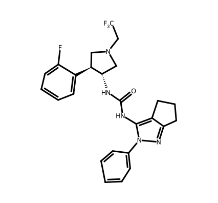 O=C(Nc1c2c(nn1-c1ccccc1)CCC2)N[C@H]1CN(CC(F)(F)F)C[C@@H]1c1ccccc1F